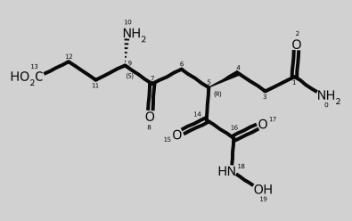 NC(=O)CC[C@H](CC(=O)[C@@H](N)CCC(=O)O)C(=O)C(=O)NO